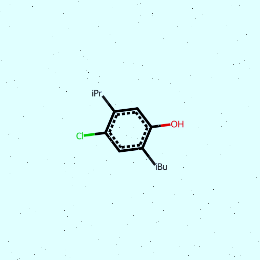 CCC(C)c1cc(Cl)c(C(C)C)cc1O